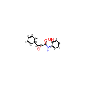 O=C(Nc1ccccc1O)C1OC1c1ccccc1